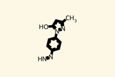 Cc1cc(O)n(-c2ccc(N=N)cc2)n1